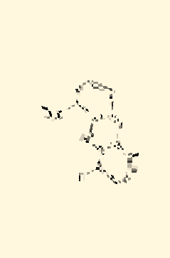 O=C(O)c1cccc2cc3cccc(Cl)c3nc12